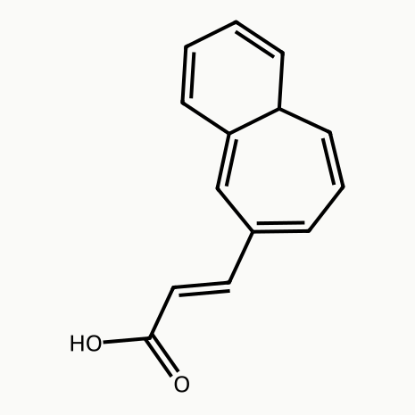 O=C(O)C=CC1=CC=CC2C=CC=CC2=C1